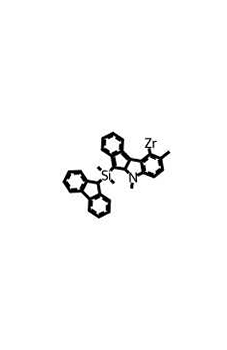 Cc1ccc2c([c]1[Zr])C1=c3ccccc3=C([Si](C)(C)C3c4ccccc4-c4ccccc43)C1N2C